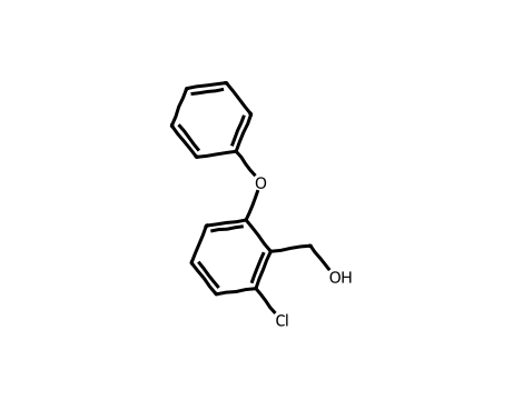 OCc1c(Cl)cccc1Oc1ccccc1